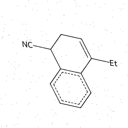 CCC1=CCC(C#N)c2ccccc21